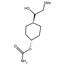 CSCC(O)[C@H]1CC[C@H](OC(N)=O)CC1